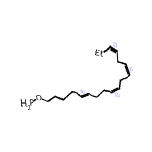 CC/C=C\C/C=C\C/C=C\CC/C=C/CCCCOP